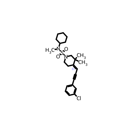 CN(C1CCCCC1)S(=O)(=O)N1CC/C(=C\C#Cc2cccc(Cl)c2)C(C)(C)C1